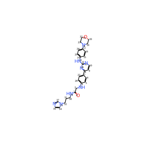 O=C(CNc1ccc(-c2ccnc(Nc3ccc(N4CCOCC4)cc3)n2)cc1)NCCCn1ccnc1